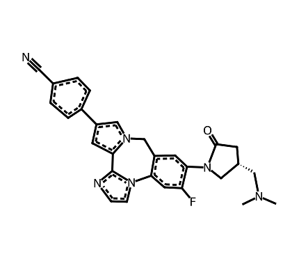 CN(C)C[C@H]1CC(=O)N(c2cc3c(cc2F)-n2ccnc2-c2cc(-c4ccc(C#N)cc4)cn2C3)C1